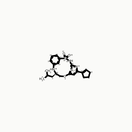 CC(C)C[C@@H]1COc2cc(C3=CCCC3)nc(n2)NS(=O)(=O)c2cccc(c2)N1